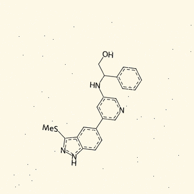 CSc1n[nH]c2ccc(-c3cncc(NC(CO)c4ccccc4)c3)cc12